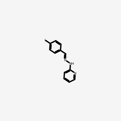 Ic1ccc(/C=N/Nc2ccccn2)cc1